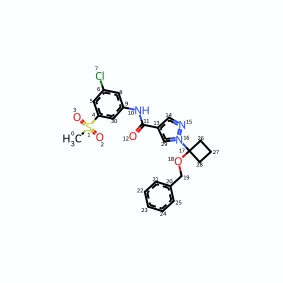 CS(=O)(=O)c1cc(Cl)cc(NC(=O)c2cnn(C3(OCc4ccccc4)CCC3)c2)c1